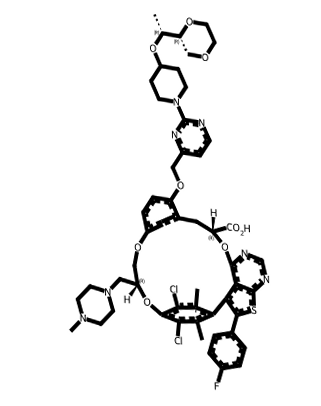 Cc1c(Cl)c2c(Cl)c(C)c1-c1c(-c3ccc(F)cc3)sc3ncnc(c13)O[C@@H](C(=O)O)Cc1cc(ccc1OCc1ccnc(N3CCC(O[C@H](C)[C@H]4COCCO4)CC3)n1)OC[C@@H](CN1CCN(C)CC1)O2